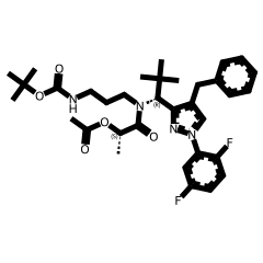 CC(=O)O[C@@H](C)C(=O)N(CCCNC(=O)OC(C)(C)C)[C@@H](c1nn(-c2cc(F)ccc2F)cc1Cc1ccccc1)C(C)(C)C